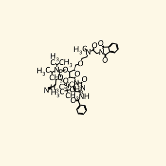 CC(C)N(C(C)C)P(OCCC#N)O[C@@H]1C(O[Si](C)(C)C(C)(C)C)[C@H](n2ccc(NC(=O)c3ccccc3)nc2=O)O[C@@H]1COCCN(C)C(=O)CN1C(=O)c2ccccc2C1=O